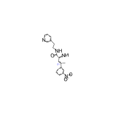 C/C(=C\C(=N)C(=O)NCCc1cccnc1)c1cccc([N+](=O)[O-])c1